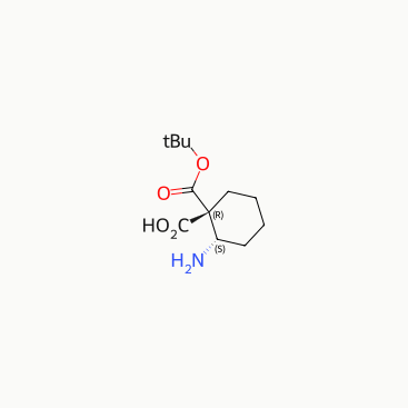 CC(C)(C)OC(=O)[C@]1(C(=O)O)CCCC[C@@H]1N